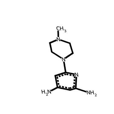 CN1CCN(c2cc(N)cc(N)n2)CC1